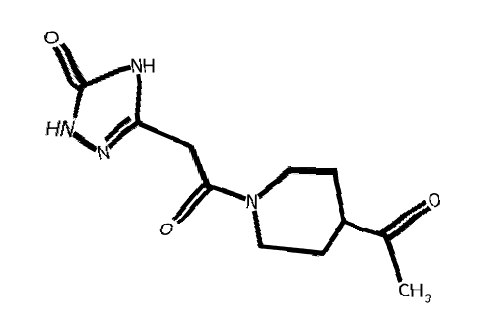 CC(=O)C1CCN(C(=O)Cc2n[nH]c(=O)[nH]2)CC1